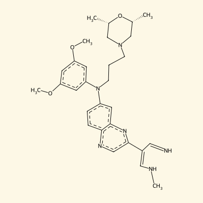 CN/C=C(\C=N)c1cnc2ccc(N(CCCN3C[C@@H](C)O[C@@H](C)C3)c3cc(OC)cc(OC)c3)cc2n1